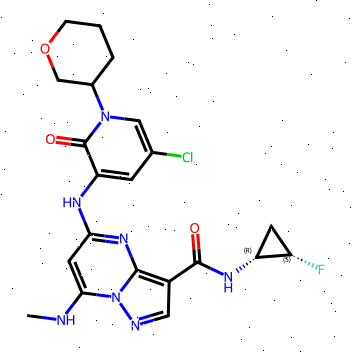 CNc1cc(Nc2cc(Cl)cn(C3CCCOC3)c2=O)nc2c(C(=O)N[C@@H]3C[C@@H]3F)cnn12